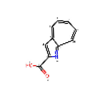 O=C(O)c1cc2cccccc-2n1